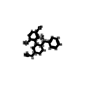 Cc1ccc(Cl)cc1[C@@H]1O[C@H](CO)CC[C@@H]1[C@H](C)c1ccccc1